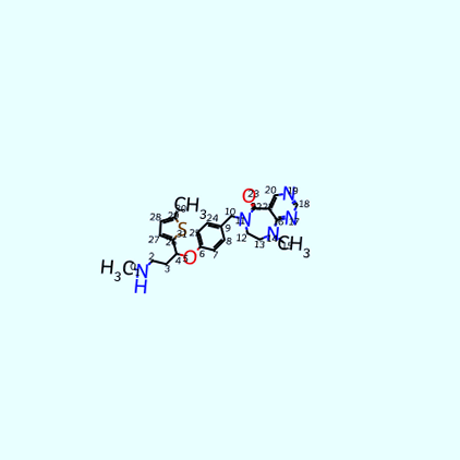 CNCCC(Oc1ccc(CN2CCN(C)c3ncncc3C2=O)cc1)c1ccc(C)s1